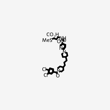 CSCCC(NS(=O)(=O)c1ccc(N2CCC(CCCC3CCN(C(=O)c4ccc(Cl)c(Cl)c4)CC3)CC2)nc1)C(=O)O